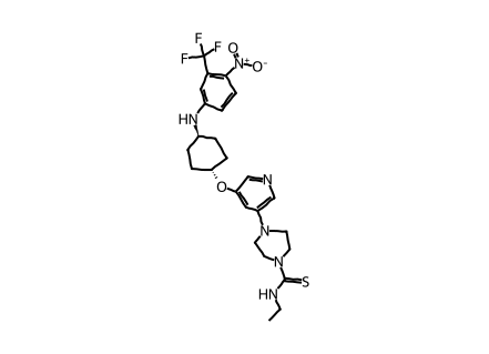 CCNC(=S)N1CCN(c2cncc(O[C@H]3CC[C@H](Nc4ccc([N+](=O)[O-])c(C(F)(F)F)c4)CC3)c2)CC1